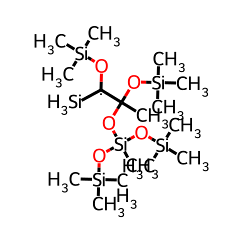 CC(O[Si](C)(C)C)(O[Si](C)(O[Si](C)(C)C)O[Si](C)(C)C)[C]([SiH3])O[Si](C)(C)C